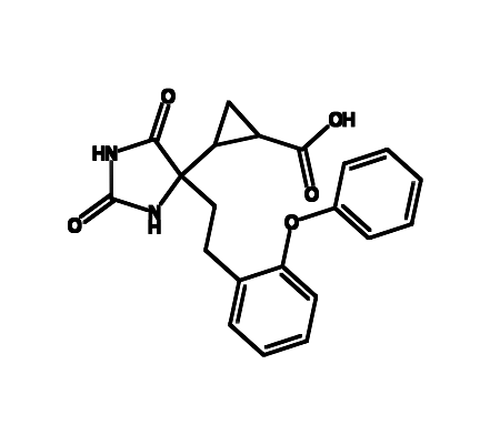 O=C1NC(=O)C(CCc2ccccc2Oc2ccccc2)(C2CC2C(=O)O)N1